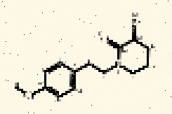 COc1ccc(CCN2CCCC(Br)C2=O)cc1